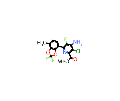 COC(=O)c1nc(-c2ccc(C)c3c2OC(F)(F)O3)c(F)c(N)c1Cl